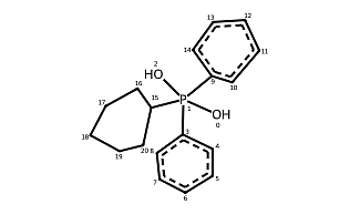 OP(O)(c1ccccc1)(c1ccccc1)C1CCCCC1